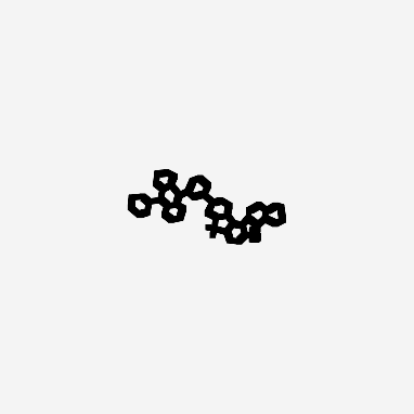 CC1(C)c2cc(-c3cccc(-c4c5ccccc5c(-c5ccccc5)c5ccccc45)c3)ccc2-c2c1ccc1sc3c4ccccc4ccc3c21